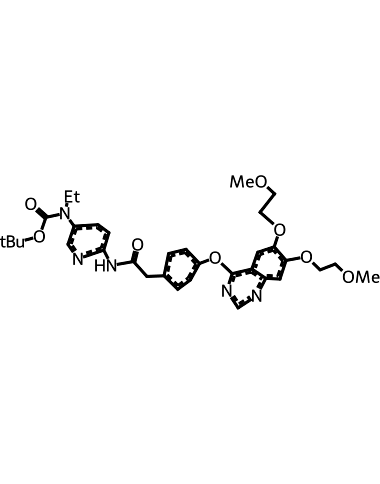 CCN(C(=O)OC(C)(C)C)c1ccc(NC(=O)Cc2ccc(Oc3ncnc4cc(OCCOC)c(OCCOC)cc34)cc2)nc1